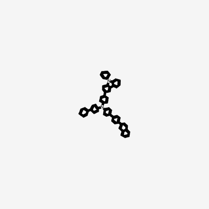 c1ccc(-c2ccc(N(c3ccc(-c4ccc(-c5ccc6ccccc6c5)cc4)cc3)c3ccc(-c4ccc5c(c4)c4ccccc4n5-c4ccccc4)cc3)cc2)cc1